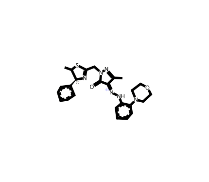 CC1=NN(CC2=N[C@@H](c3ccccc3)C(C)S2)C(=O)/C1=N/Nc1ccccc1N1CCOCC1